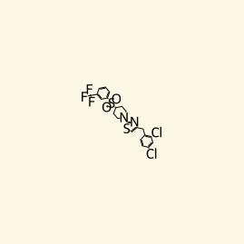 O=S(=O)(c1cccc(C(F)(F)F)c1)C1CCN(c2nc(Cc3ccc(Cl)cc3Cl)cs2)CC1